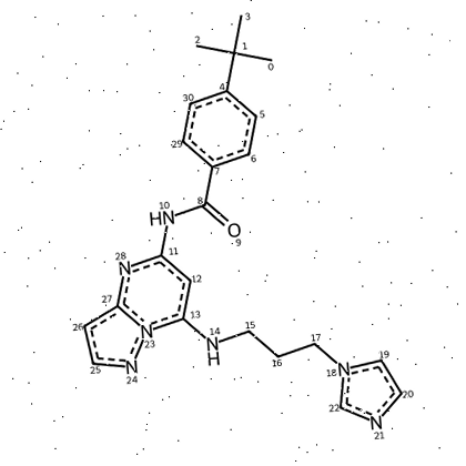 CC(C)(C)c1ccc(C(=O)Nc2cc(NCCCn3ccnc3)n3nccc3n2)cc1